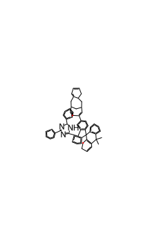 CC1(C)C2=C(CCC=C2)C2(c3ccc(C4=CC5CC(C=C4)CC4=CC=CCC4C5)cc3-c3c(C4=NC(c5ccccc5)=NC(c5ccccc5)N4)cccc32)c2ccccc21